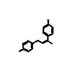 CC(=CCc1ccc(C)cc1)c1ccc(C)cc1